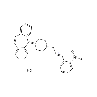 Cl.O=[N+]([O-])c1ccccc1/C=C/CN1CCC(=C2c3ccccc3C=Cc3ccccc32)CC1